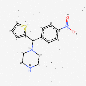 O=[N+]([O-])c1ccc(C(c2cccs2)N2CCNCC2)cc1